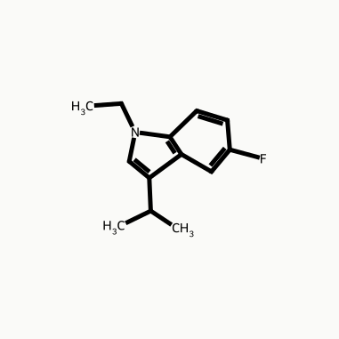 CCn1cc(C(C)C)c2cc(F)ccc21